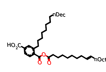 CCCCCCCCC=CCCCCCCCC(=O)OC(=O)c1ccc(C(=O)O)cc1CCCCCCCCCCCCCCCCCC